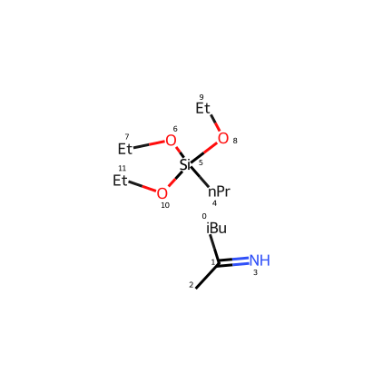 CCC(C)C(C)=N.CCC[Si](OCC)(OCC)OCC